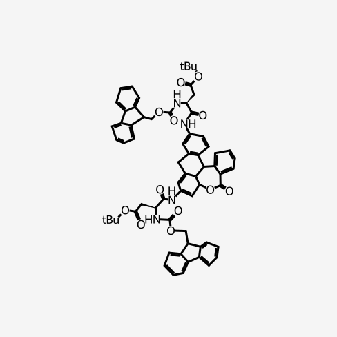 CC(C)(C)OC(=O)C[C@H](NC(=O)OCC1c2ccccc2-c2ccccc21)C(=O)NC1=CC2OC(=O)c3ccccc3C3c4ccc(NC(=O)[C@H](CC(=O)OC(C)(C)C)NC(=O)OCC5c6ccccc6-c6ccccc65)cc4CC(=C1)C23